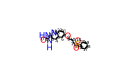 O=c1[nH]c2cc3cc(OCCCS(=O)(=O)c4ccccc4)ccc3nc2[nH]1